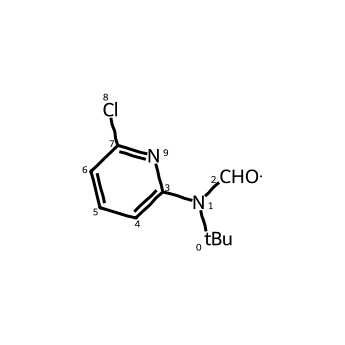 CC(C)(C)N([C]=O)c1cccc(Cl)n1